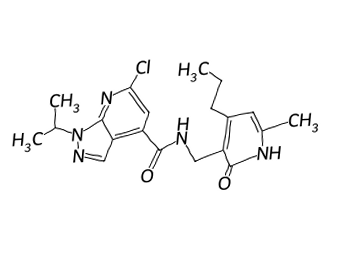 CCCc1cc(C)[nH]c(=O)c1CNC(=O)c1cc(Cl)nc2c1cnn2C(C)C